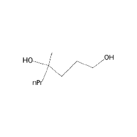 CCCC(C)(O)CCCO